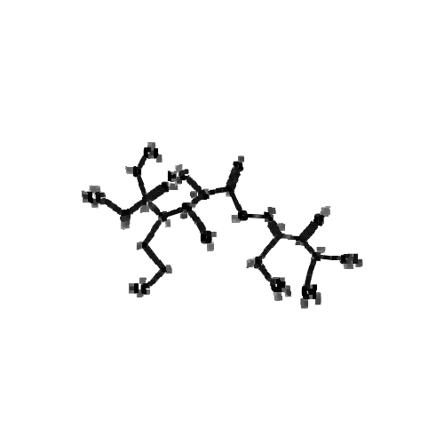 CCCN([S+]([O-])N(C)C(=O)ON=C(SC)C(=O)N(C)C)P(=S)(OC)OC